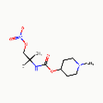 CN1CCC(OC(=O)NC(C)(C)CO[N+](=O)[O-])CC1